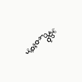 C=CC(=O)Nc1ccc(S(=O)(=O)c2ccc(N3CC(CN4CCC([C@@](C#N)(c5cccc(F)c5)[C@H]5CCC[C@@H]5NC(=O)OC)CC4)C3)cc2)cc1